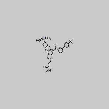 CNC(=O)CCCC1CCN(C(=O)[C@H](Cc2cccc(/C(N)=N\O)c2)N[S+]([O-])c2cccc(-c3ccc(C(C)(C)C)cc3)c2)CC1